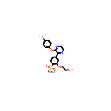 CNS(=O)(=O)c1ccc(-c2nccnc2Oc2ccc(C(F)(F)F)cc2)cc1OCCO